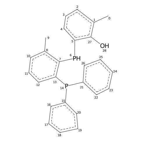 Cc1cccc(Pc2c(C)cccc2P(c2ccccc2)c2ccccc2)c1O